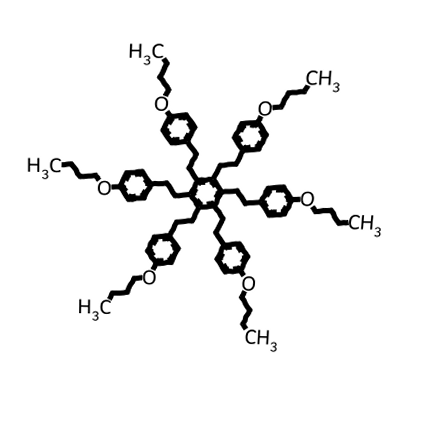 CCCCOc1ccc(CCc2c(CCc3ccc(OCCCC)cc3)c(CCc3ccc(OCCCC)cc3)c(CCc3ccc(OCCCC)cc3)c(CCc3ccc(OCCCC)cc3)c2CCc2ccc(OCCCC)cc2)cc1